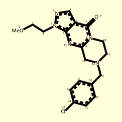 COCCn1ncc2c(=O)n3c(nc21)CN(Cc1ccc(Cl)cc1)CC3